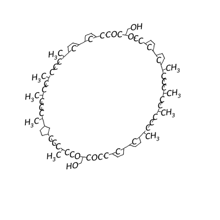 CC1CCCC2CCC(C2)C(C)CCCC(C)CCC(C)CCCC(C)C2CCC(C2)C2CCC(CCOCC(CO)OCCC3CCC(C3)C3CCC(C3)C(C)CCCC(C)CCC(C)CCCC(C)C3CCC(C3)C3CCC(CCOCC(CO)OCC1)C3)C2